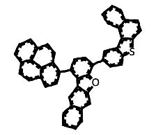 c1ccc2cc3c(cc2c1)oc1c(-c2ccc4sc5ccc6ccccc6c5c4c2)ccc(-c2ccc4ccc5cccc6ccc2c4c56)c13